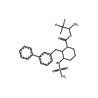 CC(OC(=O)N1CCCC(NS(C)(=O)=O)C1Cc1cccc(-c2ccccc2)c1)C(F)(F)F